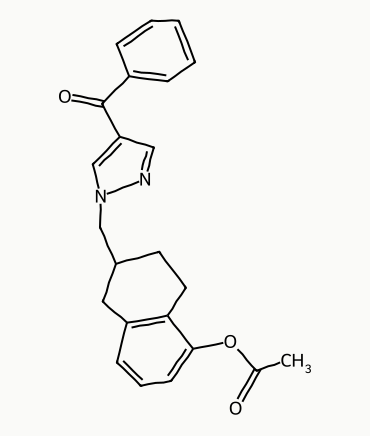 CC(=O)Oc1cccc2c1CCC(Cn1cc(C(=O)c3ccccc3)cn1)C2